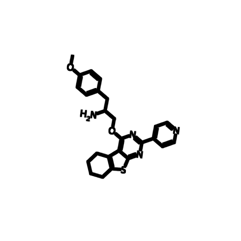 COc1ccc(CC(N)COc2nc(-c3ccncc3)nc3sc4c(c23)CCCC4)cc1